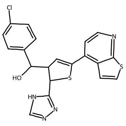 OC(c1ccc(Cl)cc1)C1C=C(c2ccnc3sccc23)SC1c1nnc[nH]1